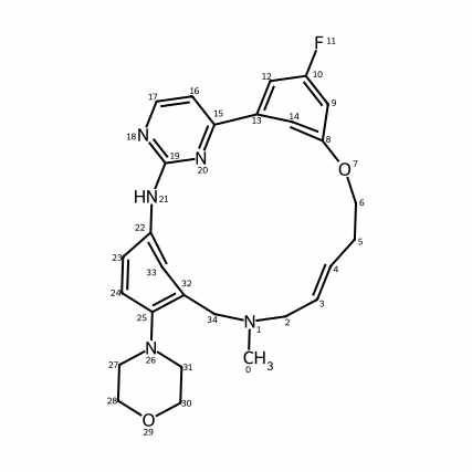 CN1C/C=C/CCOc2cc(F)cc(c2)-c2ccnc(n2)Nc2ccc(N3CCOCC3)c(c2)C1